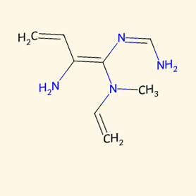 C=C/C(N)=C(\N=C/N)N(C)C=C